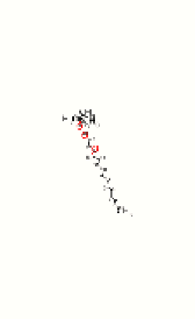 CCCCCCCCCCCCOCCOCOC(C)(C)C